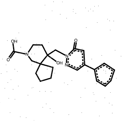 O=C(O)N1CCC(O)(Cn2ncc(-c3ccccc3)cc2=O)C2(CCCC2)C1